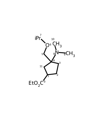 CCOC(=O)C1CCC(COC(C)C)(N(C)C)C1